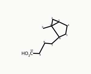 CC12CC1CCC2CCCC(=O)O